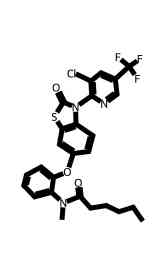 CCCCCC(=O)N(C)c1ccccc1Oc1ccc2c(c1)sc(=O)n2-c1ncc(C(F)(F)F)cc1Cl